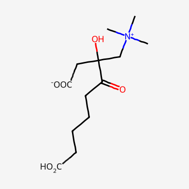 C[N+](C)(C)CC(O)(CC(=O)[O-])C(=O)CCCCC(=O)O